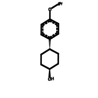 CC(C)Oc1ccc([C@H]2CC[C@H](O)CC2)cc1